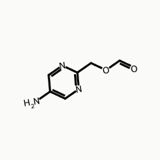 Nc1cnc(COC=O)nc1